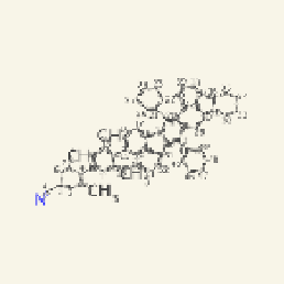 Cc1cc(C#N)cc(C)c1-c1cc(C)c(-c2ccc3c4c(-c5ccccc5)c5c(cc6c7ccccc7c7cccc5c76)c(-c5ccccc5)c4c4cccc2c43)c(C)c1